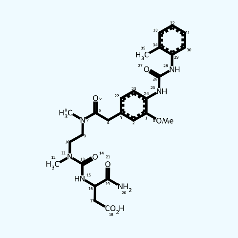 COc1cc(CC(=O)N(C)CCN(C)C(=O)NC(CC(=O)O)C(N)=O)ccc1NC(=O)Nc1ccccc1C